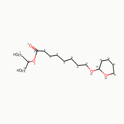 CCCCCCCCC(CCCCCCCC)OC(=O)CCCCCCCOC1CCCCO1